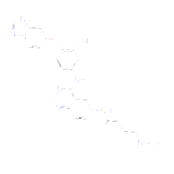 Cc1cc(Nc2ncnc3ccc(NC(=O)/C=C/CN(C)C)cc23)ccc1Oc1ccn2ncnc2c1